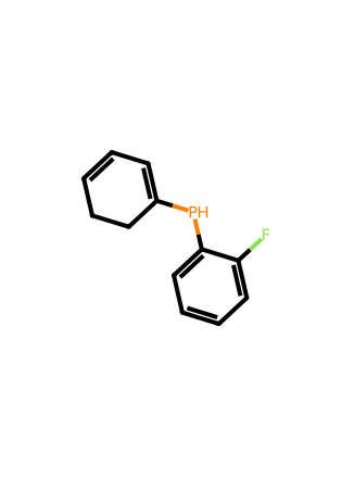 Fc1ccccc1PC1=CC=CCC1